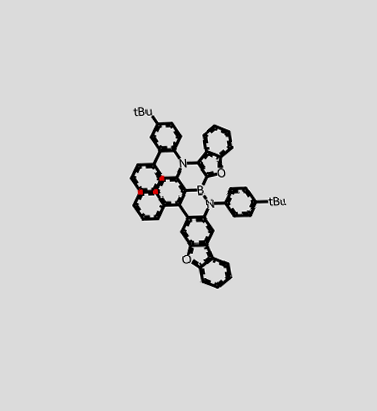 CC(C)(C)c1ccc(N2B3c4oc5ccccc5c4N(c4ccc(C(C)(C)C)cc4-c4ccccc4)c4cc5ccccc5c(c43)-c3cc4oc5ccccc5c4cc32)cc1